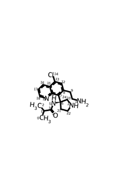 CC(C)C(=O)N[C@]1(c2c(CCN)cc(Cl)c3cccnc23)CCNC1